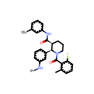 Cc1cccc(F)c1C(=O)N1CCC[C@H](C(=O)Nc2cccc(C(C)(C)C)c2)[C@@H]1c1cccc(NC(C)C)c1